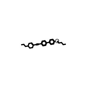 CCCCOc1ccc(-c2ccc(C#CC3=CCC(CCC)CC3)cc2)cc1